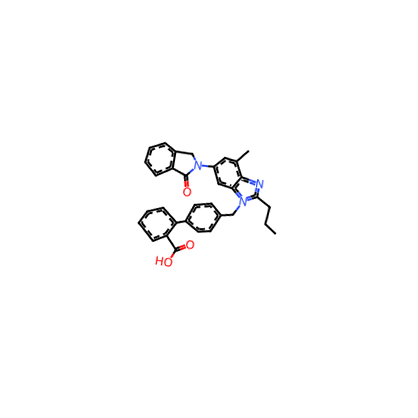 CCCc1nc2c(C)cc(N3Cc4ccccc4C3=O)cc2n1Cc1ccc(-c2ccccc2C(=O)O)cc1